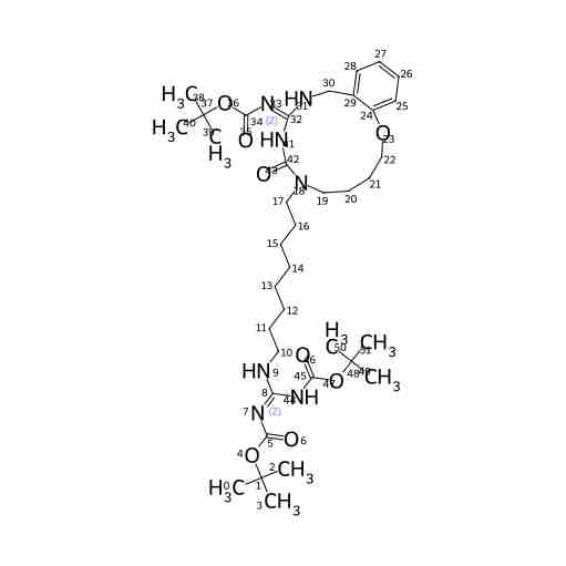 CC(C)(C)OC(=O)/N=C(/NCCCCCCCCN1CCCCOc2ccccc2CN/C(=N/C(=O)OC(C)(C)C)NC1=O)NC(=O)OC(C)(C)C